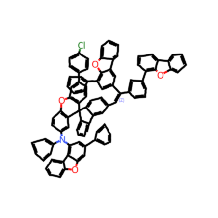 Clc1ccc(-c2ccc3c(c2)Oc2ccc(N(c4ccccc4)c4cc(-c5ccccc5)cc5oc6ccccc6c45)cc2C32c3ccccc3-c3cc(/C=C(/c4cccc(-c5cccc6c5oc5ccccc56)c4)c4cc(-c5ccccc5)c5oc6ccccc6c5c4)ccc32)cc1